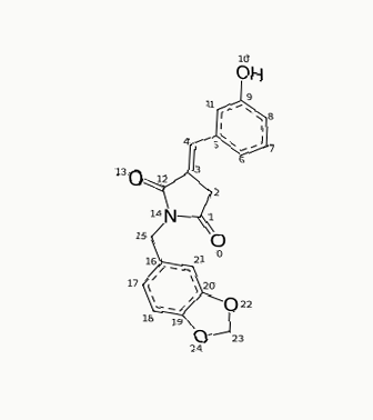 O=C1CC(=Cc2cccc(O)c2)C(=O)N1Cc1ccc2c(c1)OCO2